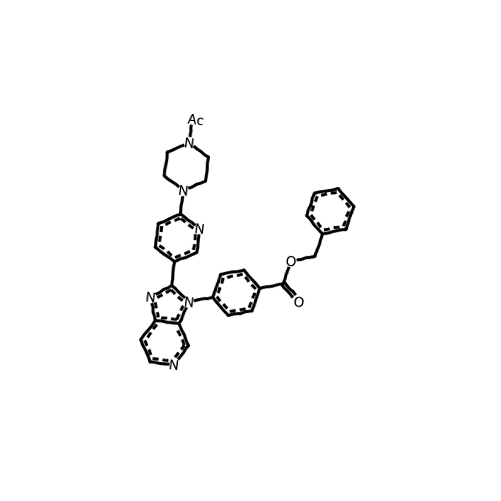 CC(=O)N1CCN(c2ccc(-c3nc4ccncc4n3-c3ccc(C(=O)OCc4ccccc4)cc3)cn2)CC1